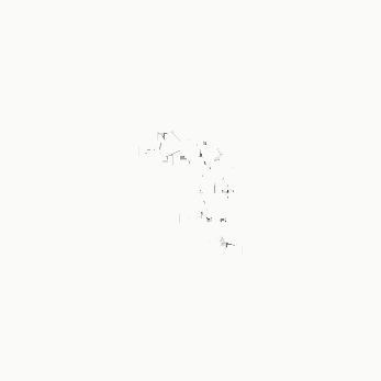 C[C@@H]1Cc2nn3c(c2CN1C(=O)Nc1ccnc(Br)c1F)C(=O)N(C)O[C@H](CN(C)C)C3